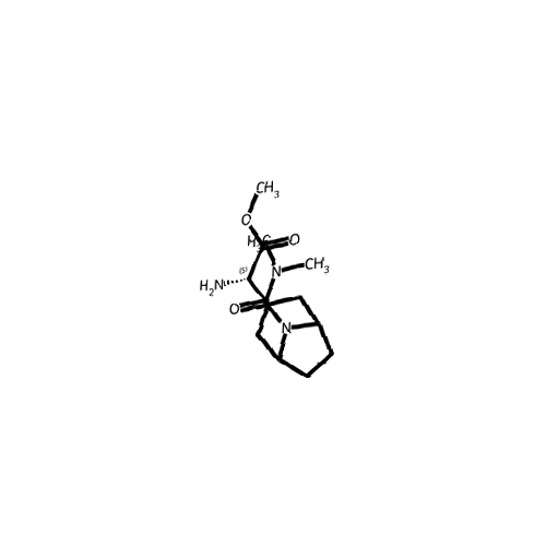 COC(=O)[C@@H](N)C1CC2CCC(C1)N2C(=O)N(C)C